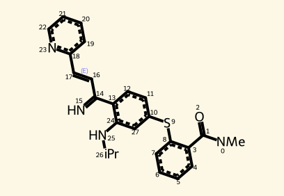 CNC(=O)c1ccccc1Sc1ccc(C(=N)/C=C/c2ccccn2)c(NC(C)C)c1